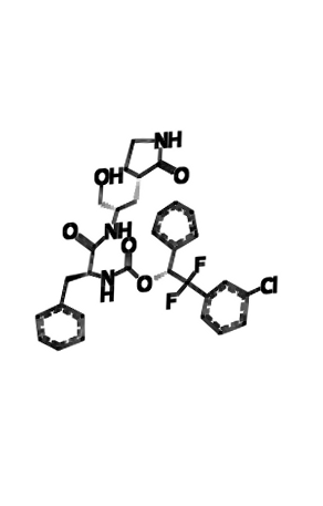 O=C(N[C@@H](Cc1ccccc1)C(=O)N[C@H](CO)C[C@@H]1CCNC1=O)O[C@H](c1ccccc1)C(F)(F)c1cccc(Cl)c1